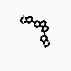 c1cnc2cc(-c3ccc4c(ccc5ccc(-c6ccc7nccnc7c6)cc54)c3)ccc2n1